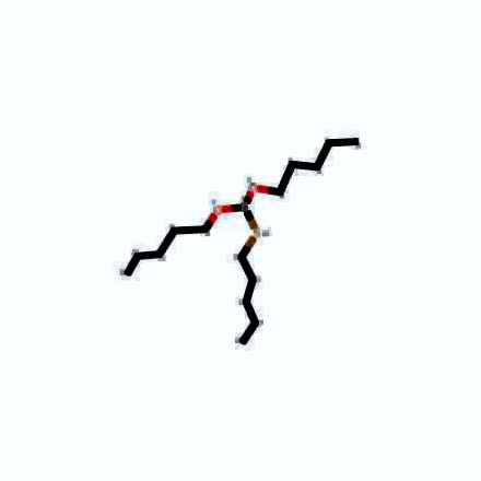 CCCCCOB(OCCCCC)SCCCCC